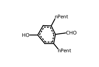 CCCCCc1cc(O)cc(CCCCC)c1C=O